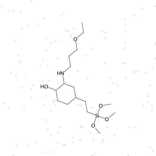 CCOCCCNC1CC(CC[Si](OC)(OC)OC)CCC1O